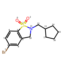 O=S1(=O)c2ccc(Br)cc2CN1CC1CCCC1